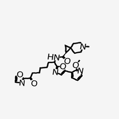 COc1ncccc1-c1cnc(C(CCCCCC(=O)c2ncco2)NC(=O)[C@H]2CC23CCN(C)CC3)o1